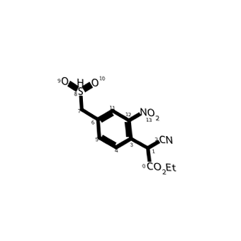 CCOC(=O)C(C#N)c1ccc(C[SH](=O)=O)cc1[N+](=O)[O-]